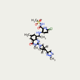 Cc1cc([C@@H](C)Nc2ccc(Cl)nc2C(=O)NS(C)(=O)=O)c2nc(N3C[C@@H]4C(c5cnn(C)n5)[C@@H]4C3)n(C)c(=O)c2c1